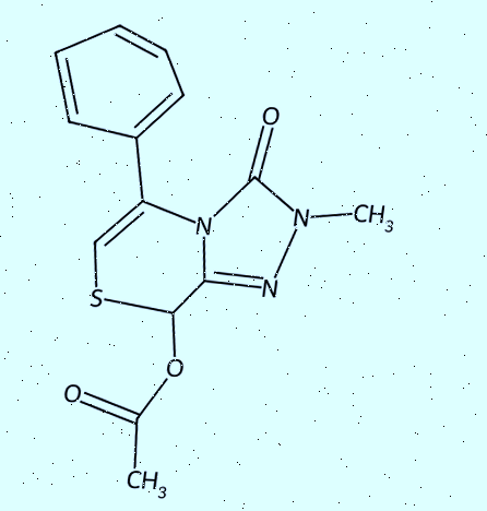 CC(=O)OC1SC=C(c2ccccc2)n2c1nn(C)c2=O